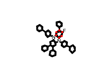 Fc1ccc(N(c2ccc(-c3ccccc3)cc2)c2cc(-c3ccccc3)c(-c3ccccc3)cc2N(c2ccc(-c3ccccc3)cc2)c2ccc(-c3ccccc3)cc2)cc1